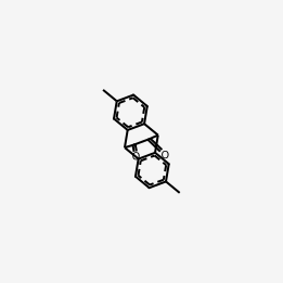 Cc1ccc2c(c1)C1C(=O)C(=O)C2c2cc(C)ccc21